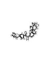 CC1(c2cc(NC(=O)c3ccc(Cn4ccnc4)cc3)ccc2F)CCSC(N)=N1